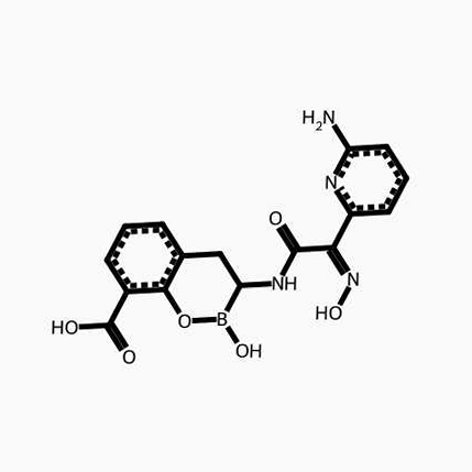 Nc1cccc(C(=NO)C(=O)NC2Cc3cccc(C(=O)O)c3OB2O)n1